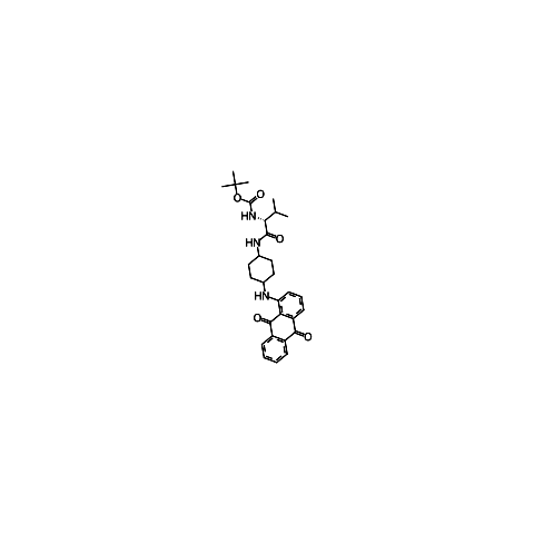 CC(C)[C@@H](NC(=O)OC(C)(C)C)C(=O)NC1CCC(Nc2cccc3c2C(=O)c2ccccc2C3=O)CC1